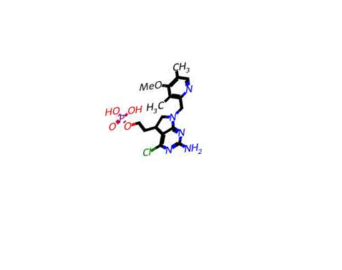 COc1c(C)cnc(CN2CC(CCOP(=O)(O)O)c3c(Cl)nc(N)nc32)c1C